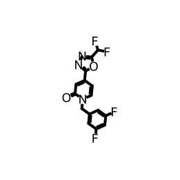 O=c1cc(-c2nnc(C(F)F)o2)ccn1Cc1cc(F)cc(F)c1